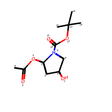 CC(=O)OC1CC(O)CN1C(=O)OC(C)(C)C